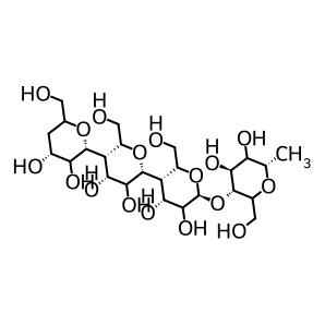 C[C@@H]1OC(CO)[C@H](O[C@@H]2OC(CO)[C@@H]([C@H]3OC(CO)[C@@H]([C@H]4OC(CO)C[C@@H](O)C4O)[C@@H](O)C3O)[C@@H](O)C2O)[C@@H](O)C1O